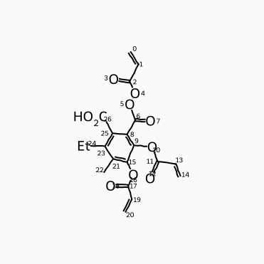 C=CC(=O)OOC(=O)c1c(OC(=O)C=C)c(OC(=O)C=C)c(C)c(CC)c1C(=O)O